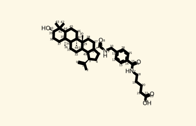 C=C(C)[C@@H]1CC[C@]2(C(=O)NCc3ccc(C(=O)NCCCCC(=O)O)cc3)CC[C@]3(C)C(CCC4[C@@]5(C)CC[C@H](O)C(C)(C)C5CC[C@]43C)C12